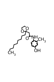 CCCCCCCCCC1(CC(=O)Nc2ccc(O)cc2C)OCCO1